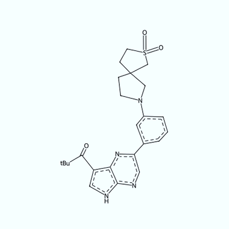 CC(C)(C)C(=O)c1c[nH]c2ncc(-c3cccc(N4CCC5(CCS(=O)(=O)C5)C4)c3)nc12